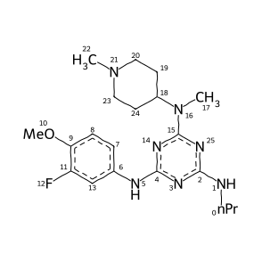 CCCNc1nc(Nc2ccc(OC)c(F)c2)nc(N(C)C2CCN(C)CC2)n1